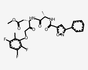 COC(=O)C[C@H](NC(=O)[C@H](C)NC(=O)c1cc(-c2ccccc2)no1)C(=O)COc1c(C)c(F)cc(F)c1F